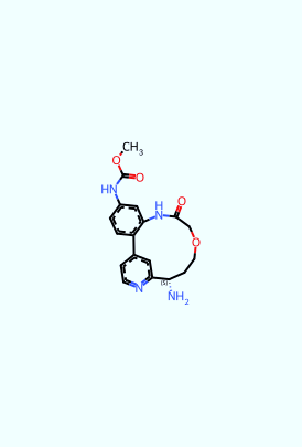 COC(=O)Nc1ccc2c(c1)NC(=O)COCC[C@H](N)c1cc-2ccn1